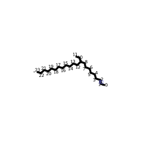 [CH2]/C=C/CCCCCCC(CC)CCCCCCCCCCC[CH2]